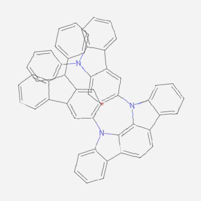 c1ccc(C2c3ccccc3-c3cc(-n4c5ccccc5c5ccc6c7ccccc7n(-c7ccc8c(c7)c7ccccc7n8-c7ccccc7)c6c54)ccc32)cc1